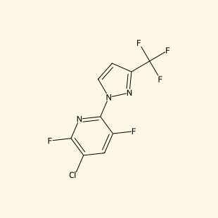 Fc1cc(Cl)c(F)nc1-n1ccc(C(F)(F)F)n1